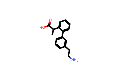 CC(C(=O)O)c1ccccc1-c1cccc(CCN)c1